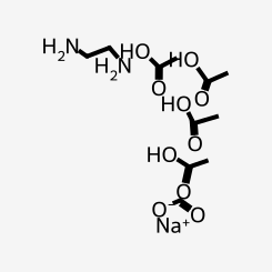 CC(=O)O.CC(=O)O.CC(=O)O.CC(=O)O.NCCN.O=C[O-].[Na+]